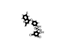 Cc1cc(Oc2ccc(NS(=O)(=O)c3cc(Cl)cc(Cl)c3O)cc2)c2cc(F)ccc2n1